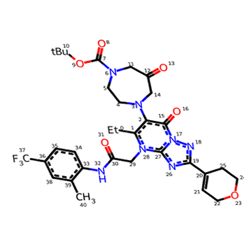 CCc1c(N2CCN(C(=O)OC(C)(C)C)CC(=O)C2)c(=O)n2nc(C3=CCOCC3)nc2n1CC(=O)Nc1ccc(C(F)(F)F)cc1C